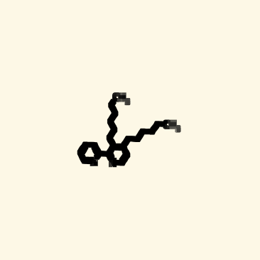 CCCCCCc1ccnc(-c2ccccn2)c1CCCCCC